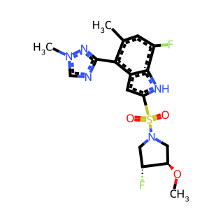 CO[C@@H]1CN(S(=O)(=O)c2cc3c(-c4ncn(C)n4)c(C)cc(F)c3[nH]2)C[C@H]1F